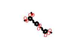 COc1cc(/C=C/C(=O)Oc2ccc(/C=C/c3cc(OC(C)=O)cc(OC(C)=O)c3)cc2)ccc1OC(C)=O